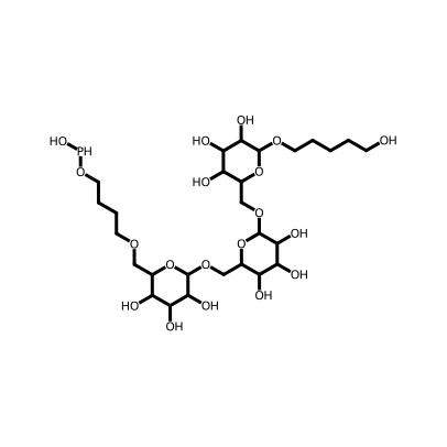 OCCCCCOC1OC(COC2OC(COC3OC(COCCCCOPO)C(O)C(O)C3O)C(O)C(O)C2O)C(O)C(O)C1O